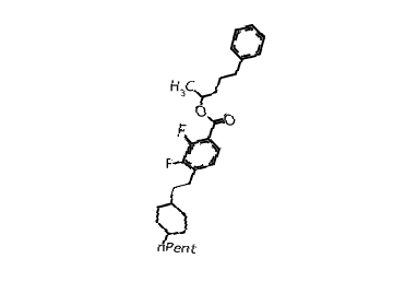 CCCCCC1CCC(CCc2ccc(C(=O)OC(C)CCCc3ccccc3)c(F)c2F)CC1